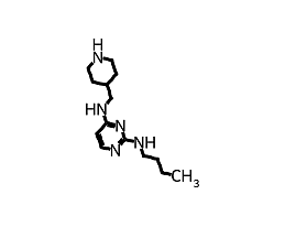 CCCCNc1nccc(NCC2CCNCC2)n1